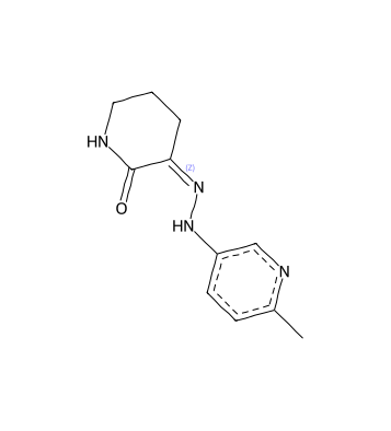 Cc1ccc(N/N=C2/CCCNC2=O)cn1